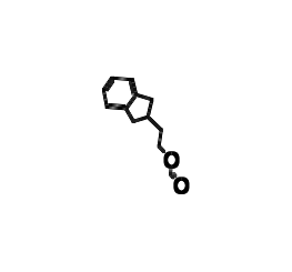 O=COCCC1Cc2ccccc2C1